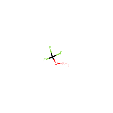 BOC(F)(F)F